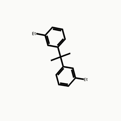 CCc1cccc(C(C)(C)c2cccc(CC)c2)c1